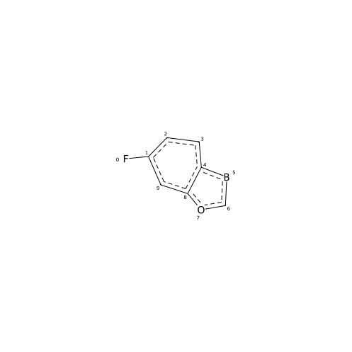 Fc1ccc2bcoc2c1